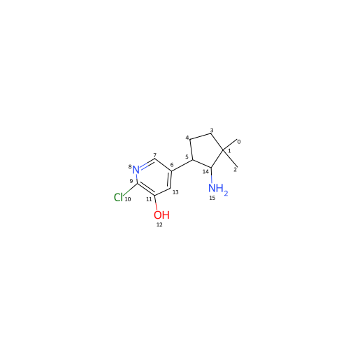 CC1(C)CCC(c2cnc(Cl)c(O)c2)C1N